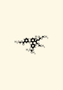 CCOC(=O)Cc1[nH]c2ccc(Oc3cccc(C(=O)OCC)c3)c(-c3ccc(OC(C)C)cc3)c2c1C(=O)OCC